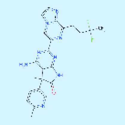 Cc1ccc(C2(C)C(=O)Nc3nc(-c4cn5ccnc5c(CCC(F)(F)C(F)(F)F)n4)nc(N)c32)cn1